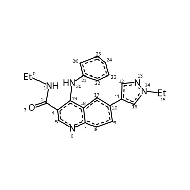 CCNC(=O)c1cnc2ccc(-c3cnn(CC)c3)cc2c1Nc1ccccc1